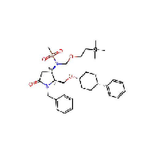 C[Si](C)(C)CCOCN([C@@H]1CC(=O)N(Cc2ccccc2)[C@@H]1CO[C@H]1CC[C@@H](c2ccccc2)CC1)S(C)(=O)=O